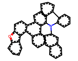 c1ccc(-c2ccccc2N(c2ccc3ccccc3c2)c2cccc3c4ccc5oc6ccccc6c5c4c4ccccc4c23)cc1